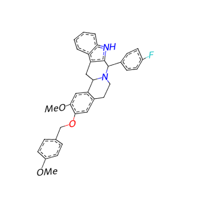 COc1ccc(COc2cc3c(cc2OC)C2Cc4c([nH]c5ccccc45)C(c4ccc(F)cc4)N2CC3)cc1